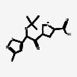 Cc1cc(C(OC(C)(C)C)C(=O)C2CNC(C(=O)O)C2)on1